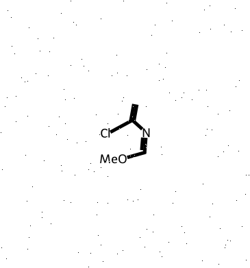 C=C(Cl)/N=C\OC